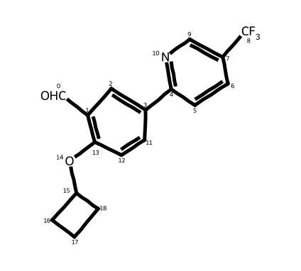 O=Cc1cc(-c2ccc(C(F)(F)F)cn2)ccc1OC1CCC1